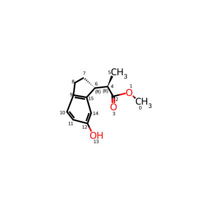 COC(=O)[C@H](C)[C@H]1CCc2ccc(O)cc21